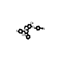 COc1cc2c(cc1OCc1ccc(C#N)cc1)C1Cc3c([nH]c4ccccc34)C(c3ccc(F)cc3)N1CC2